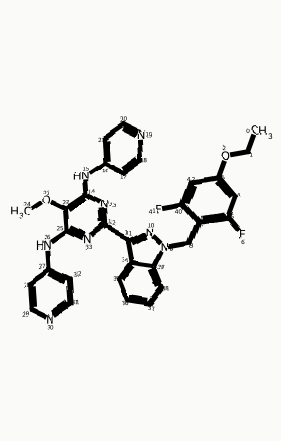 CCOc1cc(F)c(Cn2nc(-c3nc(Nc4ccncc4)c(OC)c(Nc4ccncc4)n3)c3ccccc32)c(F)c1